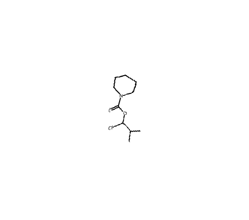 CC(C)C(Cl)OC(=O)N1CCCCC1